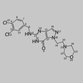 O=c1[nH]c(NCc2ccc(Cl)c(Cl)c2)nc2cnn(CCN3CCOCC3)c12